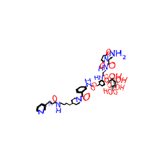 NCC(C(=O)NCCC(=O)Nc1cc(COC(=O)Nc2cccc(C(=O)N3CCC(CCCCNC(=O)/C=C/c4cccnc4)CC3)c2)ccc1O[C@@H]1O[C@H](C(=O)O)[C@@H](O)[C@H](O)[C@H]1O)N1C(=O)C=CC1=O